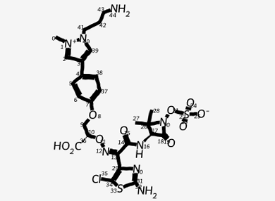 C[n+]1cc(-c2ccc(OC[C@H](O/N=C(\C(=O)N[C@@H]3C(=O)N(OS(=O)(=O)[O-])C3(C)C)c3nc(N)sc3Cl)C(=O)O)cc2)cn1CCCN